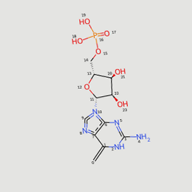 C=C1NC(N)=Nc2c1ncn2[C@@H]1O[C@H](COP(=O)(O)O)[C@@H](O)[C@H]1O